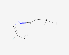 CC(C)(C)[CH]c1ccc(F)cn1